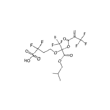 C=C(C(=O)OC(OCCC(F)(F)S(=O)(=O)O)(C(=O)OCC(C)C)C(F)(F)F)C(F)(F)F